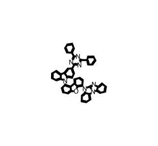 c1ccc(-c2nc(-c3ccccc3)nc(-c3ccc4c(c3)c3ccccc3n4-c3cccc4oc5c(-n6c7ccccc7n7c8ccccc8nc67)cccc5c34)n2)cc1